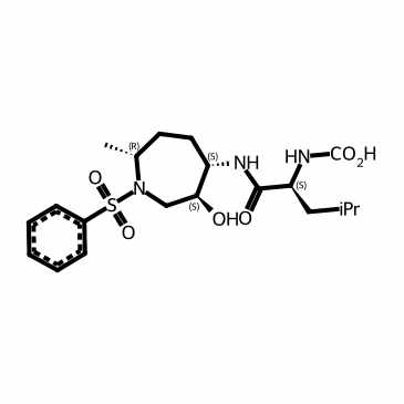 CC(C)C[C@H](NC(=O)O)C(=O)N[C@H]1CC[C@@H](C)N(S(=O)(=O)c2ccccc2)C[C@@H]1O